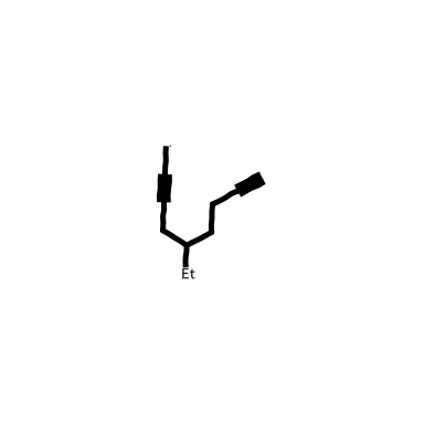 C#CCCC(CC)CC#C[CH2]